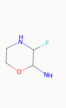 [NH]C1OCCNC1F